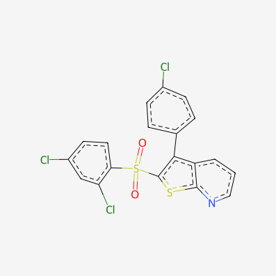 O=S(=O)(c1ccc(Cl)cc1Cl)c1sc2ncccc2c1-c1ccc(Cl)cc1